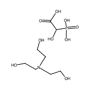 O=C(O)C(O)P(=O)(O)O.OCCN(CCO)CCO